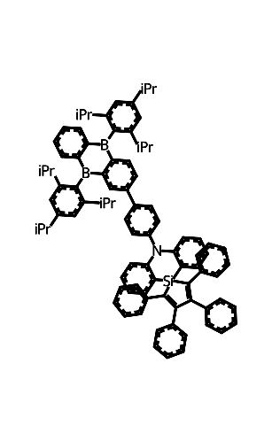 CC(C)c1cc(C(C)C)c(B2c3ccccc3B(c3c(C(C)C)cc(C(C)C)cc3C(C)C)c3cc(-c4ccc(N5c6ccccc6[Si]6(C(c7ccccc7)=C(c7ccccc7)C(c7ccccc7)=C6c6ccccc6)c6ccccc65)cc4)ccc32)c(C(C)C)c1